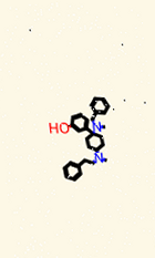 CN(CCc1ccccc1)C1CCC(c2cccc(O)c2)(N(C)Cc2ccccc2)CC1